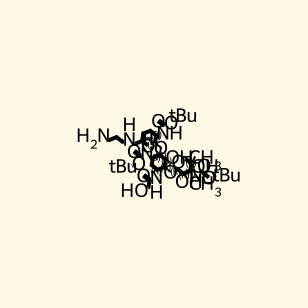 CN(C(=O)OC(C)(C)C)[C@@H]1[C@@H](O)[C@@H](O[C@@H]2[C@@H](O)[C@H](O[C@H]3OC(CNCCCN)=CC[C@H]3NC(=O)OC(C)(C)C)[C@@H](NC(=O)OC(C)(C)C)C[C@H]2NC(=O)CO)OC[C@]1(C)O